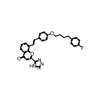 O=c1cc(-c2nnn[nH]2)oc2c(C=Cc3ccc(OCCCCc4ccc(F)cc4)cc3)cccc12